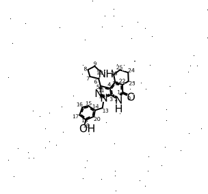 O=c1[nH]c2c(c(C3CCCN3)nn2Cc2cccc(O)c2)c2c1CCCC2